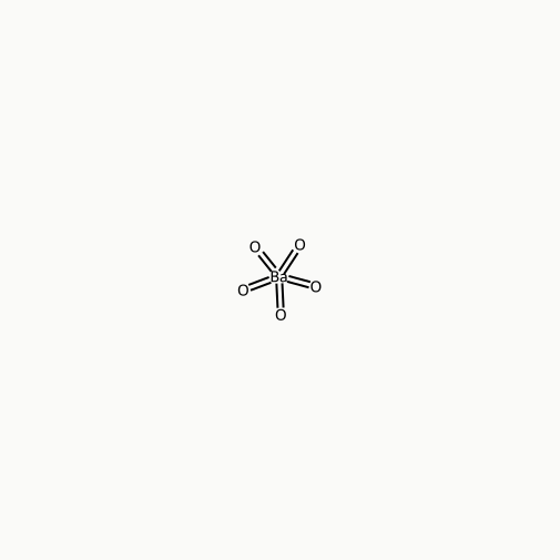 [O]=[Ba](=[O])(=[O])(=[O])=[O]